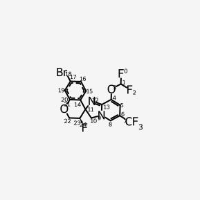 FC(F)OC1=CC(C(F)(F)F)=CN2CC3(N=C12)c1ccc(Br)cc1OC[C@@H]3F